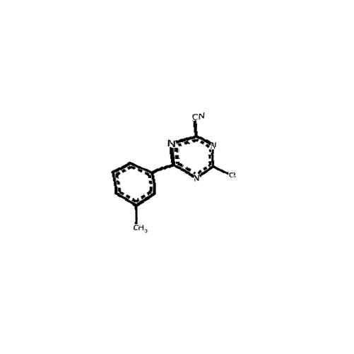 Cc1cccc(-c2nc(Cl)nc(C#N)n2)c1